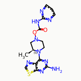 C[C@H]1CN(OC(=O)Nc2ncccn2)CCN1c1nc(N)nc2scnc12